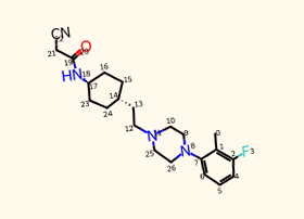 Cc1c(F)cccc1N1CCN(CC[C@H]2CC[C@H](NC(=O)CC#N)CC2)CC1